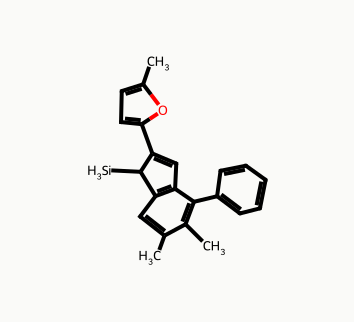 Cc1ccc(C2=Cc3c(cc(C)c(C)c3-c3ccccc3)C2[SiH3])o1